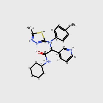 CC(C)(C)c1ccc(N(c2nnc(C#N)s2)C(C(=O)NC2CCCCC2)c2cccnc2)cc1